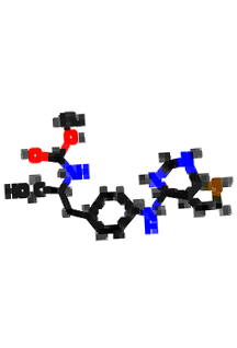 CC(C)(C)OC(=O)N[C@@H](Cc1ccc(Nc2ncnc3sccc23)cc1)C(=O)O